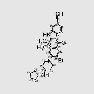 C#Cc1ccc2c3c([nH]c2c1)C(C)(C)c1cc(N2CCC(NC4CCCC4)CC2)c(CC)cc1C3=O